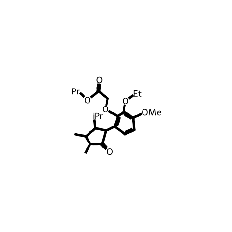 CCOc1c(OC)ccc(C2C(=O)C(C)C(C)C2C(C)C)c1OCC(=O)OC(C)C